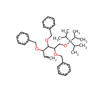 C=CC(OCc1ccccc1)C(OCc1ccccc1)C(CO[Si](C(C)C)(C(C)C)C(C)C)OCc1ccccc1